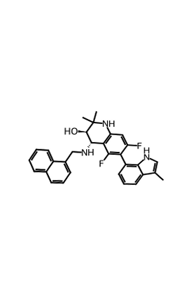 Cc1c[nH]c2c(-c3c(F)cc4c(c3F)[C@H](NCc3cccc5ccccc35)[C@@H](O)C(C)(C)N4)cccc12